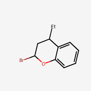 CCC1CC(Br)Oc2ccccc21